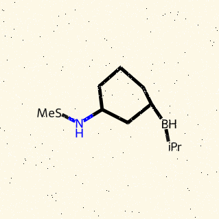 CSNC1CCCC(BC(C)C)C1